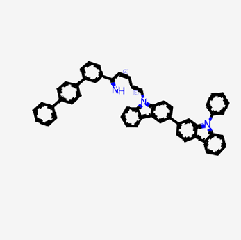 N=C(/C=C\C=C\n1c2ccccc2c2cc(-c3ccc4c5ccccc5n(-c5ccccc5)c4c3)ccc21)c1cccc(-c2ccc(-c3ccccc3)cc2)c1